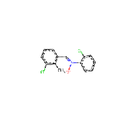 Cc1c(Cl)cccc1C=[N+]([O-])c1ccccc1Cl